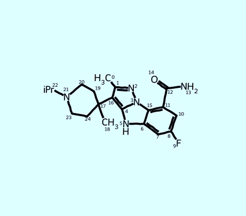 Cc1nn2c([nH]c3cc(F)cc(C(N)=O)c32)c1C1(C)CCN(C(C)C)CC1